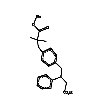 CCOC(=O)CN(Cc1ccc(CC(C)(C)C(=O)OC(C)(C)C)cc1)c1ccccc1